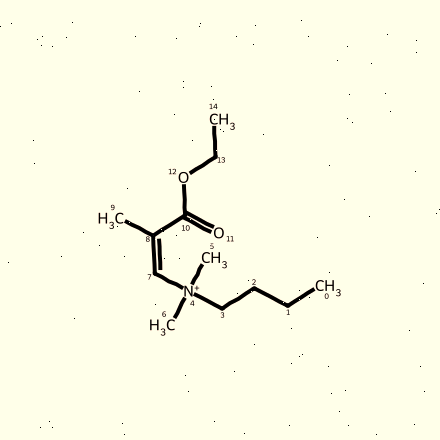 CCCC[N+](C)(C)C=C(C)C(=O)OCC